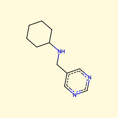 c1ncc(CNC2CCCCC2)cn1